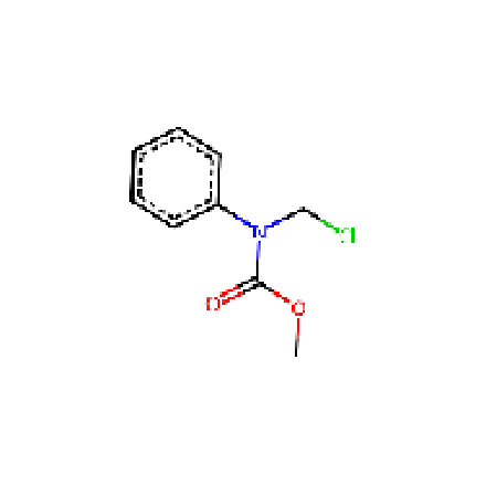 COC(=O)N(CCl)c1ccccc1